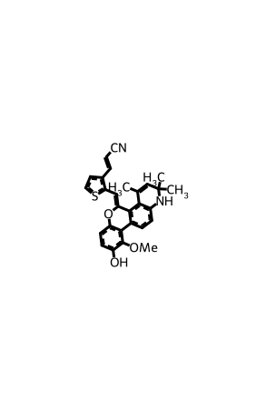 COc1c(O)ccc2c1-c1ccc3c(c1/C(=C/c1sccc1/C=C/C#N)O2)C(C)=CC(C)(C)N3